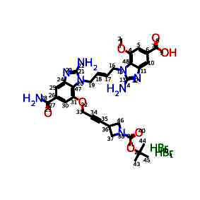 Br.Br.COc1cc(C(=O)O)cc2nc(N)n(CC=CCn3c(N)nc4cc(C(N)=O)cc(OCC#CC5CN(C(=O)OC(C)(C)C)C5)c43)c12